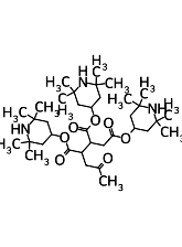 CC(=O)CC(C(=O)OC1CC(C)(C)NC(C)(C)C1)C(CC(=O)OC1CC(C)(C)NC(C)(C)C1)C(=O)OC1CC(C)(C)NC(C)(C)C1